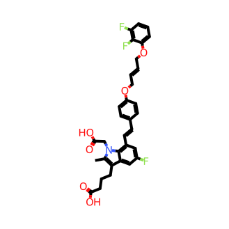 Cc1c(CCCC(=O)O)c2cc(F)cc(C=Cc3ccc(OCC=CCOc4cccc(F)c4F)cc3)c2n1CC(=O)O